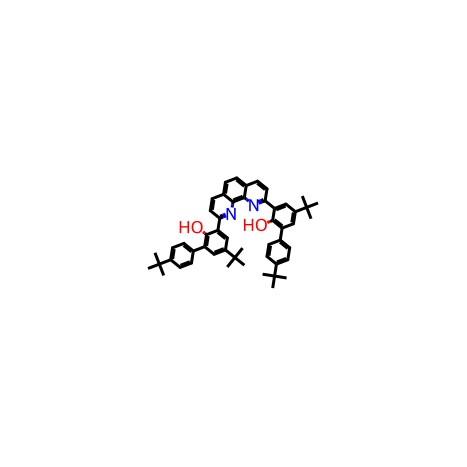 CC(C)(C)c1ccc(-c2cc(C(C)(C)C)cc(-c3ccc4ccc5ccc(-c6cc(C(C)(C)C)cc(-c7ccc(C(C)(C)C)cc7)c6O)nc5c4n3)c2O)cc1